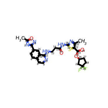 Cc1nc(-c2ccc3ccnc(NCCC(=O)Nc4nc(C)c(C(=O)OC5CCC(F)(F)C5)s4)c3c2)no1